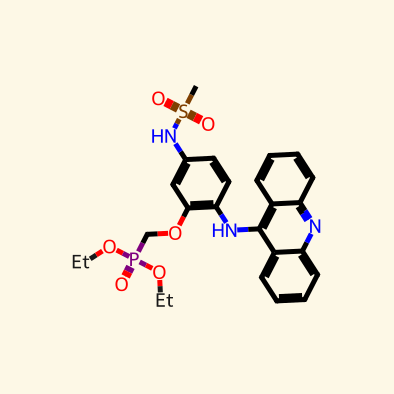 CCOP(=O)(COc1cc(NS(C)(=O)=O)ccc1Nc1c2ccccc2nc2ccccc12)OCC